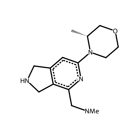 CNCc1nc(N2CCOC[C@H]2C)cc2c1CNC2